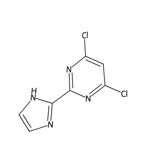 Clc1cc(Cl)nc(-c2ncc[nH]2)n1